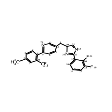 Cc1ccc(-c2ccc(CC3C=NC(c4cccc(F)c4F)=N3)cn2)c(C(F)(F)F)c1